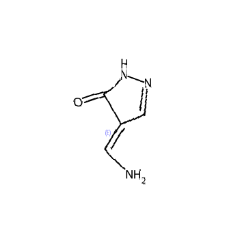 N/C=C1\C=NNC1=O